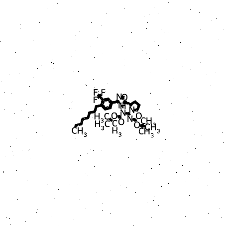 CCCCCCCCc1ccc(-c2noc(C3CCCN3/C(=N\C(=O)OC(C)(C)C)NC(=O)OC(C)(C)C)n2)cc1C(F)(F)F